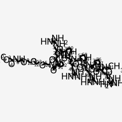 COCC(=O)NCCOCCOCCOCCNC(=O)[C@H]1CCCN1C(=O)C(CCCNC(=N)N)NC(=O)C1CCCN1C(=O)C(CCCNC(=N)N)NC(=O)[C@H]1CCCN1C(=O)C(CCCNC(=N)N)NC(=O)C1CCCN1C(=O)C(CCCNC(=N)N)NC(C)=O